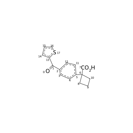 O=C(c1ccc(C2(C(=O)O)CCC2)cc1)c1cccs1